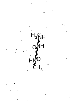 CCCNC(=O)CCCCC(=O)NCCCNC